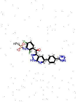 CCCS(=O)(=O)Nc1c(F)ccc(C(=O)c2n[nH]c3ncc(-c4ccc(C5N=NN=N5)cc4)cc23)c1F